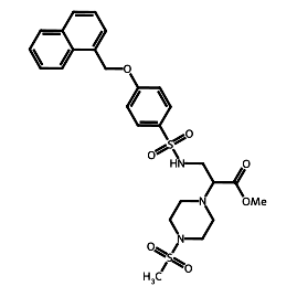 COC(=O)C(CNS(=O)(=O)c1ccc(OCc2cccc3ccccc23)cc1)N1CCN(S(C)(=O)=O)CC1